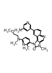 COCCN(C)c1ccc(-n2c(=O)n(C)c3cnc4ccc(-c5cncc(N)c5)cc4c32)c(C)n1